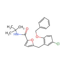 CC(C)(C)NC(=O)c1ccc(Cc2cc(Cl)ccc2OCc2ccccc2)o1